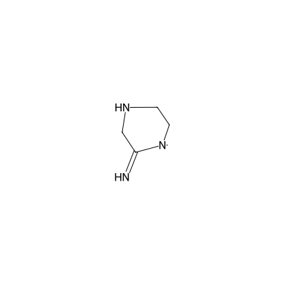 N=C1CNCC[N]1